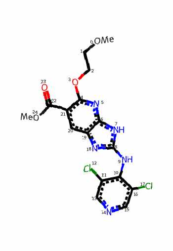 COCCOc1nc2[nH]c(Nc3c(Cl)cncc3Cl)nc2cc1C(=O)OC